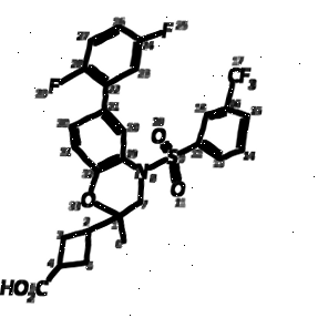 CC1(C2CC(C(=O)O)C2)CN(S(=O)(=O)c2cccc(C(F)(F)F)c2)c2cc(-c3cc(F)ccc3F)ccc2O1